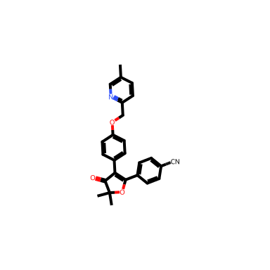 Cc1ccc(COc2ccc(C3=C(c4ccc(C#N)cc4)OC(C)(C)C3=O)cc2)nc1